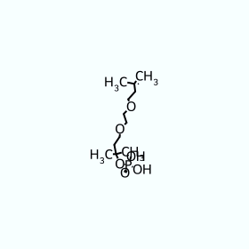 C[C](C)CCOCCOCCC(C)(C)OP(=O)(O)O